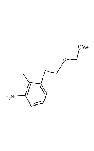 COCOCCc1cccc(N)c1C